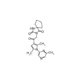 Cc1cncc(-n2c(C)cc(C(=O)CN3C(=O)NC4(CCCCC4)C3=O)c2C)n1